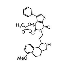 COc1cccc2c1CCC1CNC(CCn3c(=O)c4scc(-c5ccccc5)c4n(OS(C)(=O)=O)c3=O)C21